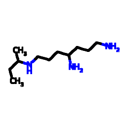 CCC(C)NCCCC(N)CCCN